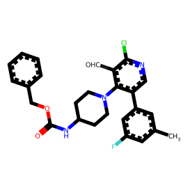 Cc1cc(F)cc(-c2cnc(Cl)c(C=O)c2N2CCC(NC(=O)OCc3ccccc3)CC2)c1